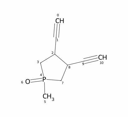 C#CC1CP(C)(=O)CC1C#C